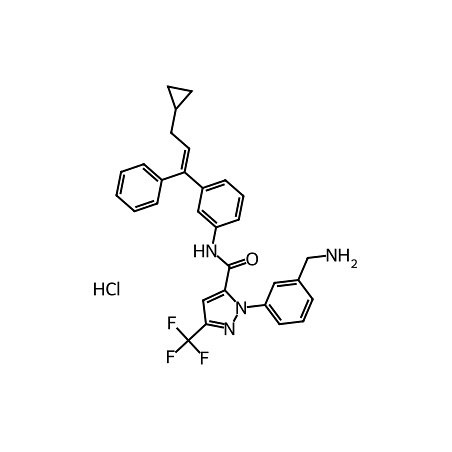 Cl.NCc1cccc(-n2nc(C(F)(F)F)cc2C(=O)Nc2cccc(C(=CCC3CC3)c3ccccc3)c2)c1